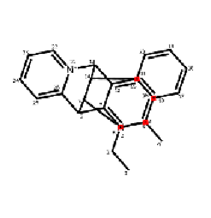 CCN(CC)C1C2c3ccccc3C(C1c1ccccc1)[n+]1ccccc12